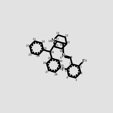 Fc1cccc(F)c1C=NC1C2CCN(CC2)C1C(c1ccccc1)c1ccccc1